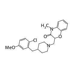 COc1ccc(Cl)c(CC2CCN(CC3Oc4ccccc4N(C)C3=O)CC2)c1